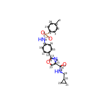 Cc1ccc(S(=O)(=O)Nc2ccc(-c3nc(C(=O)NCC4CC4)co3)cc2)cc1